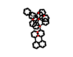 c1ccc(-c2cccc3cccc(-c4ccc(N(c5ccccc5C5(c6ccccc6)c6ccccc6-c6ccccc65)c5cccc6c5c5c7ccccc7ccc5n6-c5ccccc5)cc4)c23)cc1